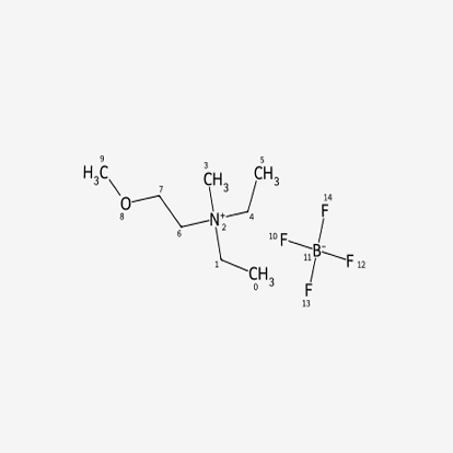 CC[N+](C)(CC)CCOC.F[B-](F)(F)F